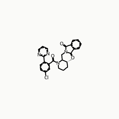 C[C@@H]1CCCN(C(=O)c2cc(Cl)ccc2-c2ncccn2)C1CN1C(=O)c2ccccc2C1=O